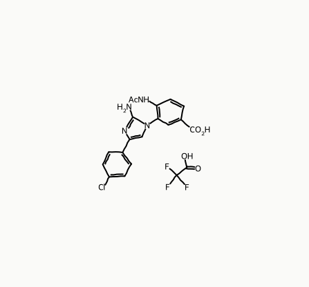 CC(=O)Nc1ccc(C(=O)O)cc1-n1cc(-c2ccc(Cl)cc2)nc1N.O=C(O)C(F)(F)F